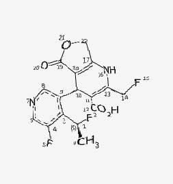 C[C@H](F)c1c(F)cncc1C1C(C(=O)O)=C(CF)NC2=C1C(=O)OC2